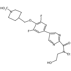 CCN(CCO)C(=O)c1ncc(-c2cc(F)c(OCC3CCN(C(=O)O)CC3)c(F)c2)cn1